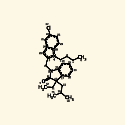 CCCCn1c(CN2C(=O)C(CC)(CC(C)C)c3ccccc32)cc2cc(Cl)ccc21